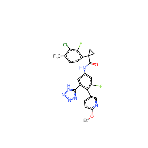 CCOc1ccc(-c2c(F)cc(NC(=O)C3(c4ccc(C(F)(F)F)c(Cl)c4F)CC3)cc2-c2nnn[nH]2)cn1